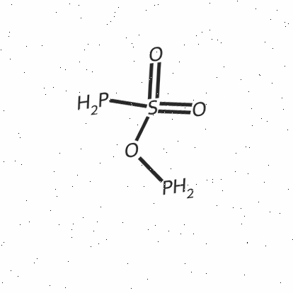 O=S(=O)(P)OP